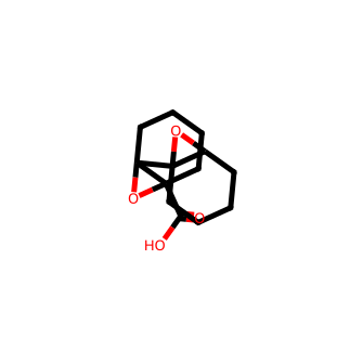 O=C(O)C12CCCCC1(C13CCCCC1O3)O2